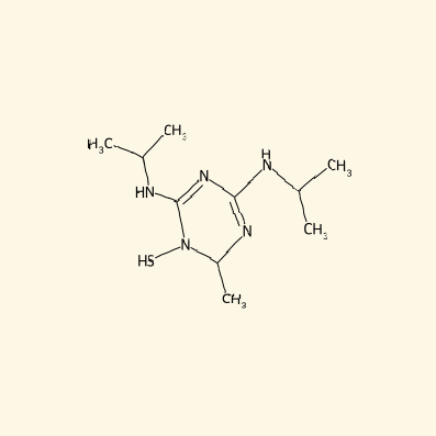 CC(C)NC1=NC(C)N(S)C(NC(C)C)=N1